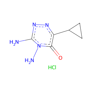 Cl.Nc1nnc(C2CC2)c(=O)n1N